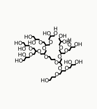 OCCCOCC(COCC(O)CO)OCC(COC(COCC(O)CO)COCC(O)CO)OCCCOC(COC(COCC(O)CO)COCC(O)CO)COC(COCC(O)CO)COCC(O)CO